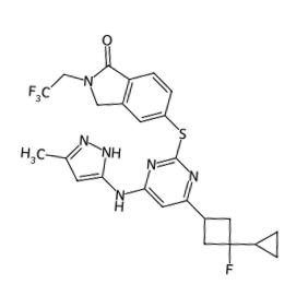 Cc1cc(Nc2cc(C3CC(F)(C4CC4)C3)nc(Sc3ccc4c(c3)CN(CC(F)(F)F)C4=O)n2)[nH]n1